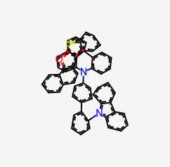 c1ccc(N(c2ccc(-c3ccccc3-n3c4ccccc4c4ccccc43)cc2)c2cccc3sc4ccccc4c23)c(-c2cccc3oc4c5ccccc5ccc4c23)c1